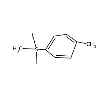 Cc1ccc(S(C)(I)I)cc1